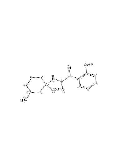 COc1ccccc1C(Cl)C(=O)NC1(C(=O)O)CCCC(C)C1